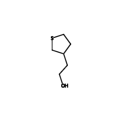 OCCC1CCSC1